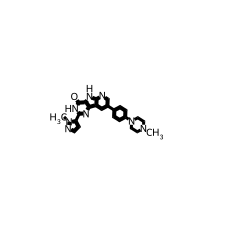 CN1CCN(c2ccc(-c3cnc4[nH]c5c(=O)[nH]c(-c6ccnn6C)nc5c4c3)cc2)CC1